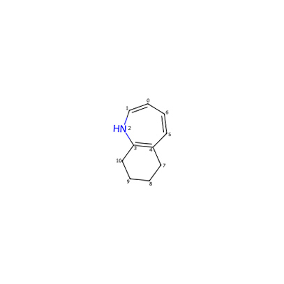 C1=CNC2=C(C=C1)CCCC2